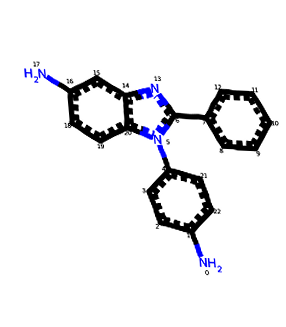 Nc1ccc(-n2c(-c3ccccc3)nc3cc(N)ccc32)cc1